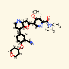 COc1cc(C(=O)N(C)C)ncc1-c1cc2nccc(-c3ccc(OC4CCOCC4)c(C#N)c3)c2o1